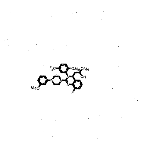 COc1cccc(N2CCN(C3=Nc4c(F)cccc4C(CC(O)OC)N3c3cc(C(F)(F)F)ccc3OC)CC2)c1